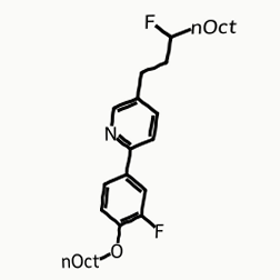 CCCCCCCCOc1ccc(-c2ccc(CCC(F)CCCCCCCC)cn2)cc1F